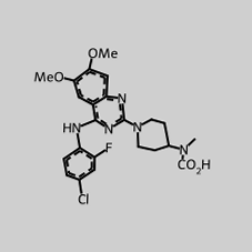 COc1cc2nc(N3CCC(N(C)C(=O)O)CC3)nc(Nc3ccc(Cl)cc3F)c2cc1OC